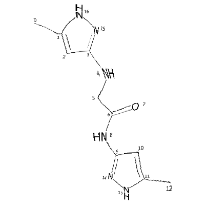 Cc1cc(NCC(=O)Nc2cc(C)[nH]n2)n[nH]1